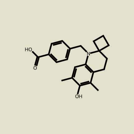 Cc1cc2c(c(C)c1O)CCC1(CCC1)N2Cc1ccc(C(=O)O)cc1